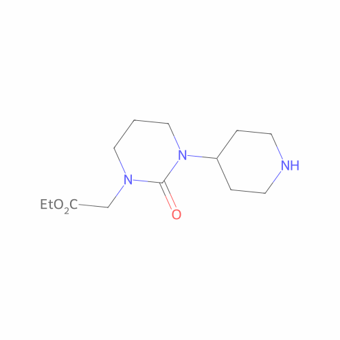 CCOC(=O)CN1CCCN(C2CCNCC2)C1=O